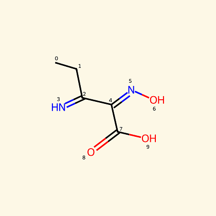 CCC(=N)C(=NO)C(=O)O